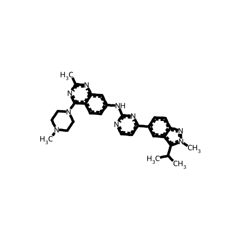 Cc1nc(N2CCN(C)CC2)c2ccc(Nc3nccc(-c4ccc5nn(C)c(C(C)C)c5c4)n3)cc2n1